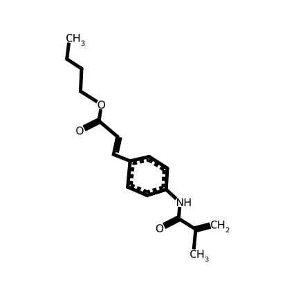 C=C(C)C(=O)Nc1ccc(/C=C/C(=O)OCCCC)cc1